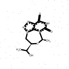 CC(O)[C@H]1Cn2nnc3c(=S)[nH]c(=O)n(c32)[C@@H](C)O1